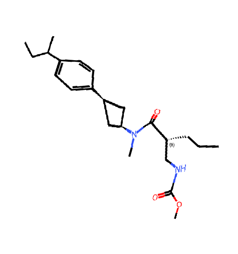 CCC[C@H](CNC(=O)OC)C(=O)N(C)[C@H]1C[C@@H](c2ccc(C(C)CC)cc2)C1